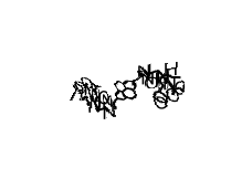 CCCN(Cc1ncc(-c2cc3c4c(c2)CCc2cc(-c5cnc(CN(CCC)C(=O)[C@@H](NC(=O)OC)C6CCOCC6)[nH]5)cc(c2-4)CC3)[nH]1)C(=O)[C@@H](NC(=O)OC)C(C)C